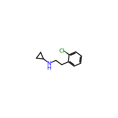 Clc1ccccc1CCNC1CC1